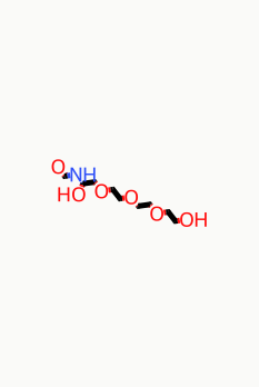 O=CNC(O)COCCOCCOCCO